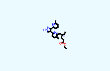 C=c1ccc(-c2c[nH]nc2-c2cccc(C)n2)n/c1=C/C(=C\C)CCC(=O)OCC